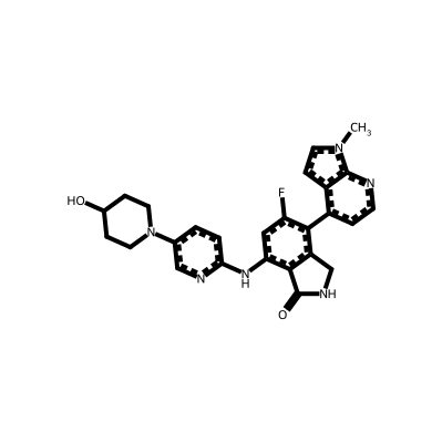 Cn1ccc2c(-c3c(F)cc(Nc4ccc(N5CCC(O)CC5)cn4)c4c3CNC4=O)ccnc21